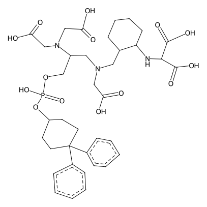 O=C(O)CN(CC1CCCCC1NC(C(=O)O)C(=O)O)CC(COP(=O)(O)OC1CCC(c2ccccc2)(c2ccccc2)CC1)N(CC(=O)O)CC(=O)O